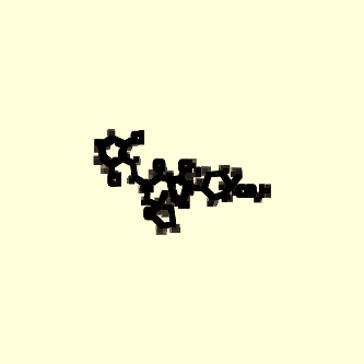 C[C@@]1(CN(CCc2c(Cl)cncc2Cl)C(=O)c2cnn([C@H]3CC[C@](C)(C(=O)O)CC3)c2C(F)(F)F)CCCO1